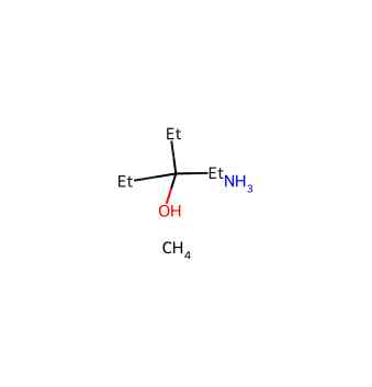 C.CCC(O)(CC)CC.N